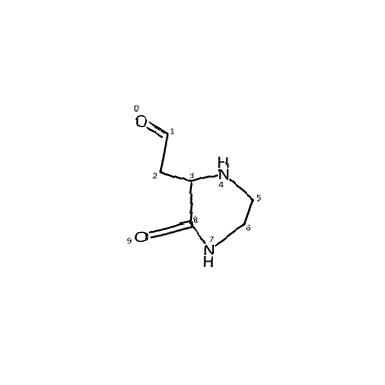 O=CCC1NCCNC1=O